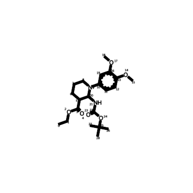 CCOC(=O)C1CCCN(c2ccc(OC)c(OC)c2)C1NC(=O)OC(C)(C)C